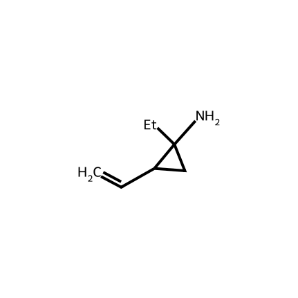 C=CC1CC1(N)CC